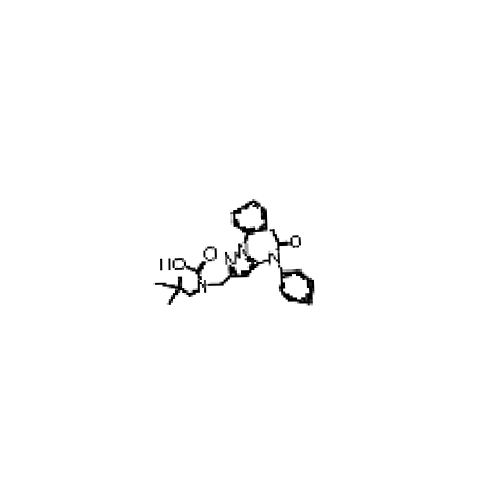 CC(=O)N(c1ccccc1)c1cc(CN(CC(C)(C)C)C(=O)O)nn1-c1ccccc1